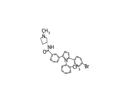 CN1CC[C@@H](NC(=O)c2cccc(-c3ccc(-c4ccc(Br)cc4)n3-c3ccccc3C(F)(F)F)c2)C1